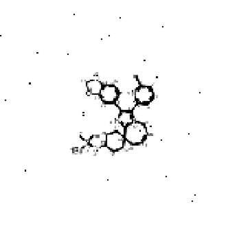 Cc1cccc(-c2c(-c3ccc4c(c3)OCO4)nc3n2CC=CCC32CCC(O[Si](C)(C)C(C)(C)C)CC2)n1